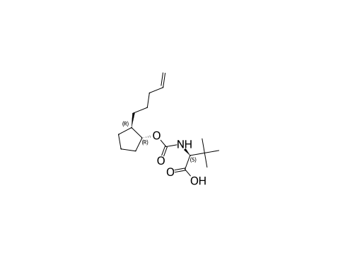 C=CCCC[C@@H]1CCC[C@H]1OC(=O)N[C@H](C(=O)O)C(C)(C)C